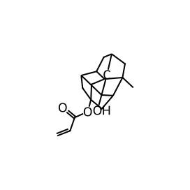 C=CC(=O)OC12CC3C4CC5CC3(C)C(C1)C(O)(C5)C4C2